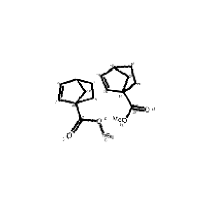 CCCCOC(=O)C12C=CC(CC1)C2.COC(=O)C12C=CC(CC1)C2